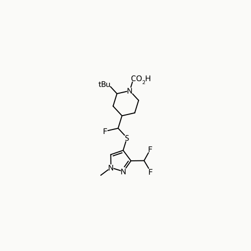 Cn1cc(SC(F)C2CCN(C(=O)O)C(C(C)(C)C)C2)c(C(F)F)n1